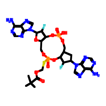 CC(C)(C)C(=O)OCSP1(=O)OCC2OC(n3cnc4c(N)ncnc43)C(F)C2OP(=O)(O)OCC2CC(n3cnc4c(N)ncnc43)C(F)C2O1